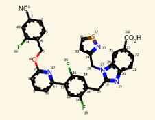 N#Cc1ccc(COc2cccc(-c3cc(F)c(Cc4nc5ccc(C(=O)O)cc5n4Cc4ccsn4)cc3F)n2)c(F)c1